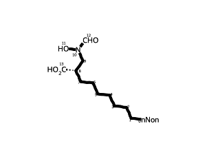 CCCCCCCCCCCCCCCC[C@@H](CN(O)C=O)C(=O)O